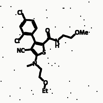 CCOCCN(C)c1sc(C(=O)NCCOC)c(-c2ccc(Cl)cc2Cl)c1C#N